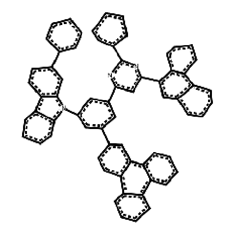 c1ccc(-c2ccc3c4ccccc4n(-c4cc(-c5ccc6c7ccccc7c7ccccc7c6c5)cc(-c5cc(-c6cc7ccccc7c7ccccc67)nc(-c6ccccc6)n5)c4)c3c2)cc1